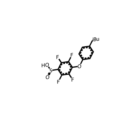 CCC(C)c1ccc(Oc2c(F)c(F)c(S(=O)O)c(F)c2F)cc1